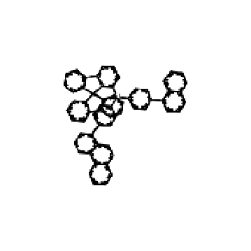 c1ccc2c(c1)-c1ccccc1C21c2ccccc2-c2cccc(N(c3ccc(-c4cccc5ccccc45)cc3)c3ccc(-c4cccc5c4ccc4ccccc45)cc3)c21